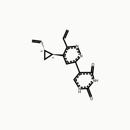 C=Cc1nnc(-c2c[nH]c(=O)[nH]c2=O)cc1[C@H]1C[C@@H]1C=C